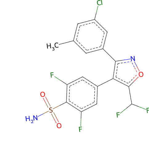 Cc1cc(Cl)cc(-c2noc(C(F)F)c2-c2cc(F)c(S(N)(=O)=O)c(F)c2)c1